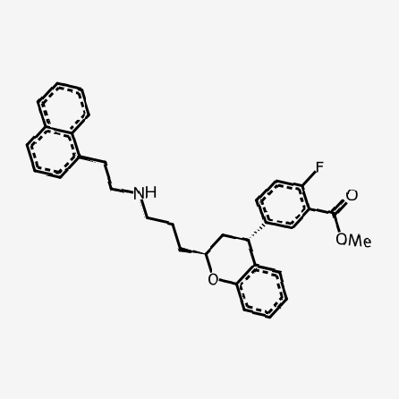 COC(=O)c1cc([C@H]2C[C@H](CCCNCCc3cccc4ccccc34)Oc3ccccc32)ccc1F